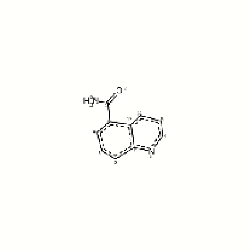 NC(=O)c1cccc2ncc[c]c12